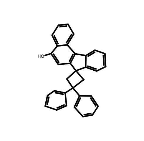 Oc1cc2c(c3ccccc13)-c1ccccc1C21CC(c2ccccc2)(c2ccccc2)C1